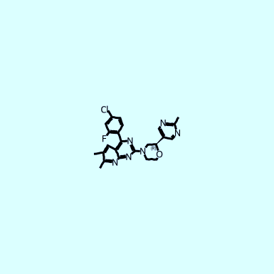 Cc1ncc([C@@H]2CN(c3nc(-c4ccc(Cl)cc4F)c4cc(C)c(C)nc4n3)CCO2)cn1